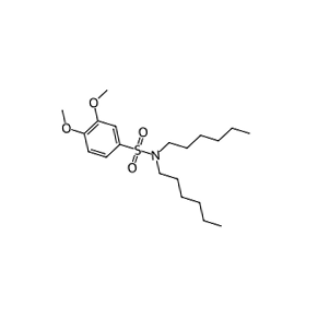 CCCCCCN(CCCCCC)S(=O)(=O)c1ccc(OC)c(OC)c1